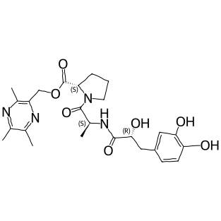 Cc1nc(C)c(COC(=O)[C@@H]2CCCN2C(=O)[C@H](C)NC(=O)[C@H](O)Cc2ccc(O)c(O)c2)nc1C